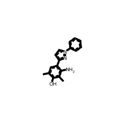 Cc1cc(-c2ccn(-c3ccccc3)n2)c(N)c(C)c1O